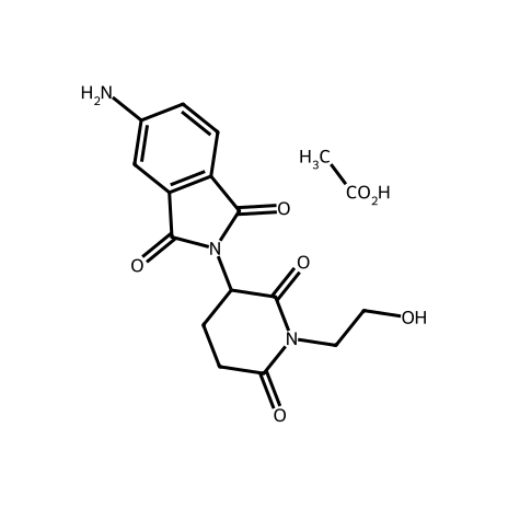 CC(=O)O.Nc1ccc2c(c1)C(=O)N(C1CCC(=O)N(CCO)C1=O)C2=O